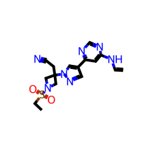 C=CNc1cc(-c2cnn(C3(CC#N)CN(S(=O)(=O)CC)C3)c2)ncn1